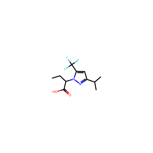 CCC(C(=O)O)n1nc(C(C)C)cc1C(F)(F)F